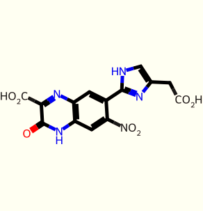 O=C(O)Cc1c[nH]c(-c2cc3nc(C(=O)O)c(=O)[nH]c3cc2[N+](=O)[O-])n1